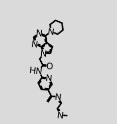 C=C(/N=C\C=N/C)c1ccc(NC(=O)Cn2ccc3c(N4CCCCC4)ncnc32)nc1